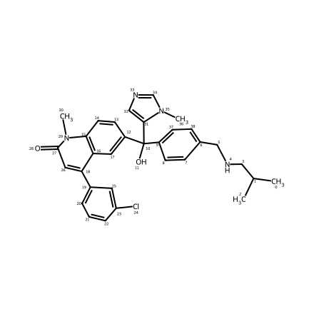 CC(C)CNCc1ccc(C(O)(c2ccc3c(c2)c(-c2cccc(Cl)c2)cc(=O)n3C)c2cncn2C)cc1